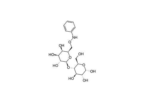 OC[C@H]1O[C@H](O)[C@H](O)[C@@H](O)[C@@H]1O[C@@H]1O[C@H](CONc2ccccc2)[C@H](O)[C@H](O)[C@H]1O